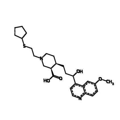 COc1ccc2nccc(C(O)CC[C@@H]3CCN(CCSC4CCCC4)C[C@@H]3C(=O)O)c2c1